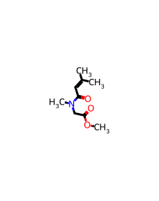 COC(=O)CN(C)C(=O)C=C(C)C